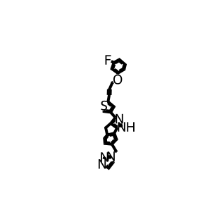 Fc1cccc(OCC#Cc2cc(-c3n[nH]c4c3Cc3ccc(Cn5ccnn5)cc3-4)cs2)c1